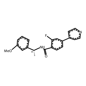 COc1cccc([C@@H](C)NC(=O)c2ccc(-c3ccncc3)cc2F)c1